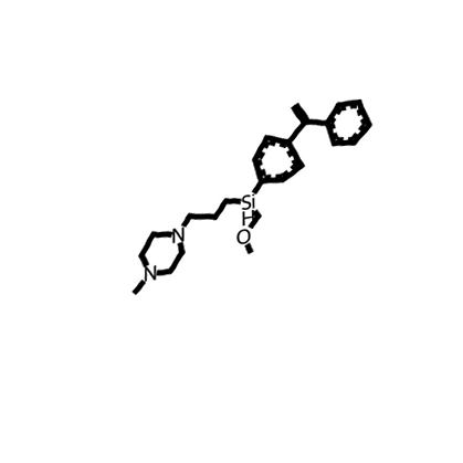 C=C(c1ccccc1)c1ccc([SiH](CCCN2CCN(C)CC2)COC)cc1